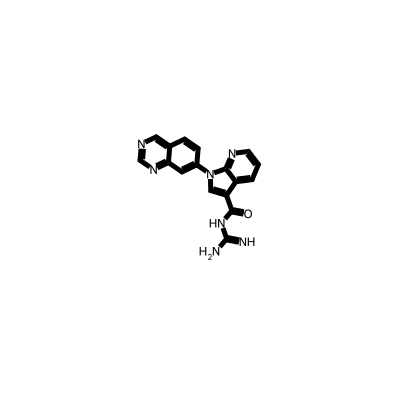 N=C(N)NC(=O)c1cn(-c2ccc3cncnc3c2)c2ncccc12